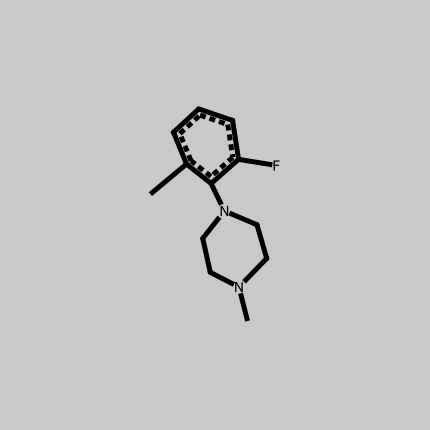 Cc1cccc(F)c1N1CCN(C)CC1